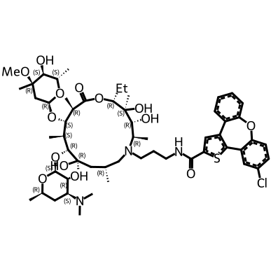 CC[C@H]1OC(=O)[C@H](C)[C@@H](O[C@H]2C[C@@](C)(OC)[C@@H](O)[C@H](C)O2)[C@H](C)[C@@H](O[C@@H]2O[C@H](C)C[C@H](N(C)C)[C@H]2O)[C@](C)(O)C[C@@H](C)CN(CCCNC(=O)c2cc3c(s2)-c2cc(Cl)ccc2Oc2ccccc2-3)[C@H](C)[C@@H](O)[C@]1(C)O